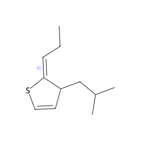 CC/C=C1/SC=CC1CC(C)C